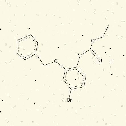 CCOC(=O)Cc1ccc(Br)cc1OCc1ccccc1